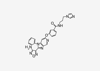 Nc1nonc1-c1nc2cnc(Oc3cccc(C(=O)NCCCn4ccnc4)c3)cc2n1-c1ccccc1